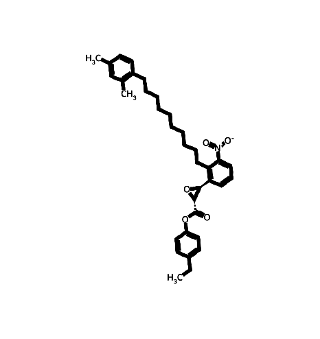 CCc1ccc(OC(=O)[C@@H]2O[C@H]2c2cccc([N+](=O)[O-])c2CCCCCCCCCCc2ccc(C)cc2C)cc1